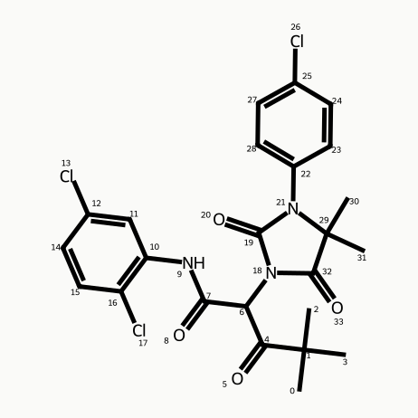 CC(C)(C)C(=O)C(C(=O)Nc1cc(Cl)ccc1Cl)N1C(=O)N(c2ccc(Cl)cc2)C(C)(C)C1=O